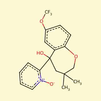 CC1(C)COc2ccc(OC(F)(F)F)cc2C(O)(c2cccc[n+]2[O-])C1